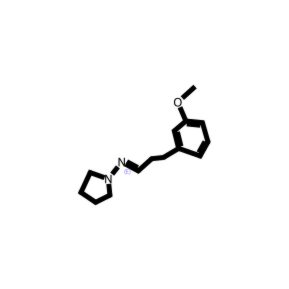 COc1cccc(CC/C=N/N2CCCC2)c1